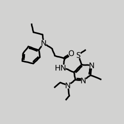 CCCN(CCC(=O)Nc1c(SC)nc(C)nc1N(CC)CC)c1ccccc1